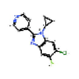 Fc1cc2nc(-c3ccncc3)n(C3CC3)c2cc1Cl